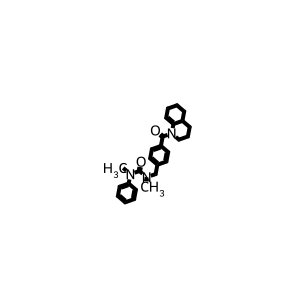 CN(Cc1ccc(C(=O)N2CCCC3CCCC=C32)cc1)C(=O)N(C)c1ccccc1